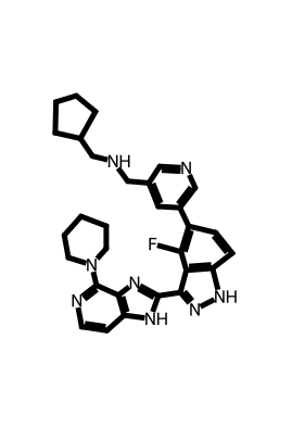 Fc1c(-c2cncc(CNCC3CCCC3)c2)ccc2[nH]nc(-c3nc4c(N5CCCCC5)nccc4[nH]3)c12